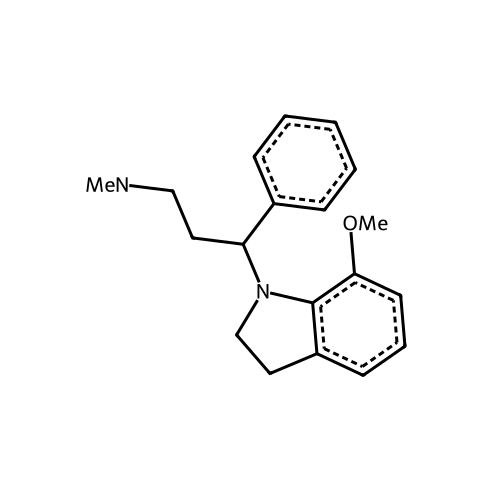 CNCCC(c1ccccc1)N1CCc2cccc(OC)c21